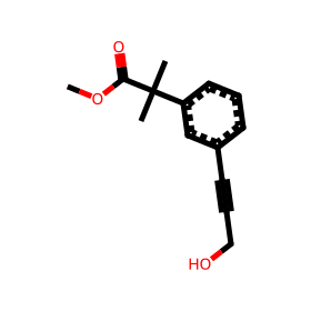 COC(=O)C(C)(C)c1cccc(C#CCO)c1